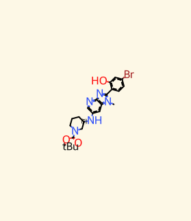 Cn1c(-c2ccc(Br)cc2O)nc2ncc(N[C@@H]3CCCN(C(=O)OC(C)(C)C)C3)cc21